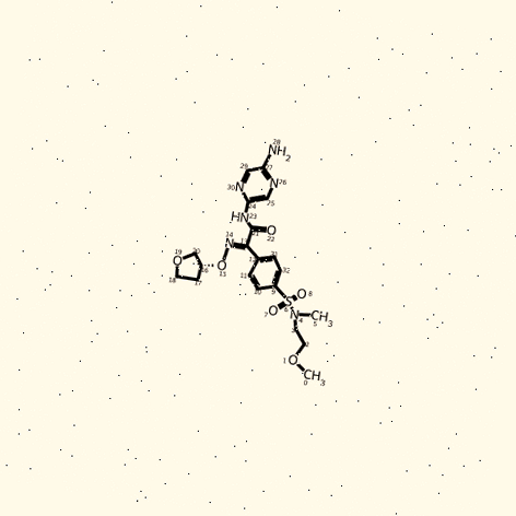 COCCN(C)S(=O)(=O)c1ccc(/C(=N\O[C@@H]2CCOC2)C(=O)Nc2cnc(N)cn2)cc1